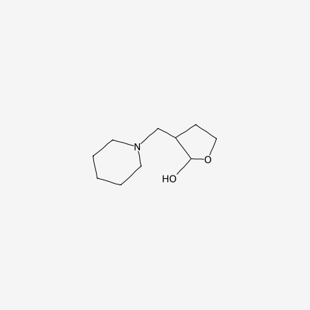 OC1OCCC1CN1CCCCC1